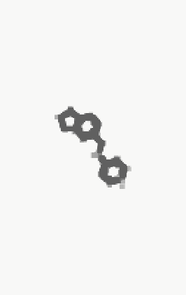 c1cc(OCc2ccc3c(c2)CCC3)ccn1